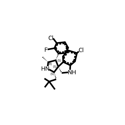 C[C@H]1N[C@@H](CC(C)(C)C)[C@@]2(CNc3cc(Cl)ccc32)[C@H]1c1cccc(Cl)c1F